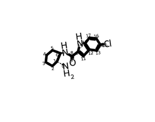 N[C@@H]1CCCC[C@H]1NC(=O)c1cc2cc(Cl)ccc2[nH]1